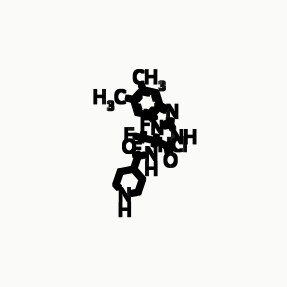 Cc1cc2nc3n(c2cc1C)C(NC(=O)C1CCNCC1)(C(F)(F)F)C(=O)N3.Cl